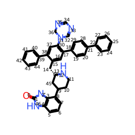 O=C1[N]c2c(cccc2C2CCN[C@@H](Cc3cc(-c4ccc(-c5ccccc5)cc4)c(N4C=NC=NC4)cc3-c3ccccc3)C2)N1